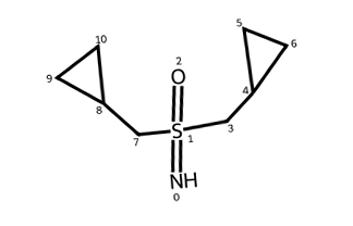 N=S(=O)(CC1CC1)CC1CC1